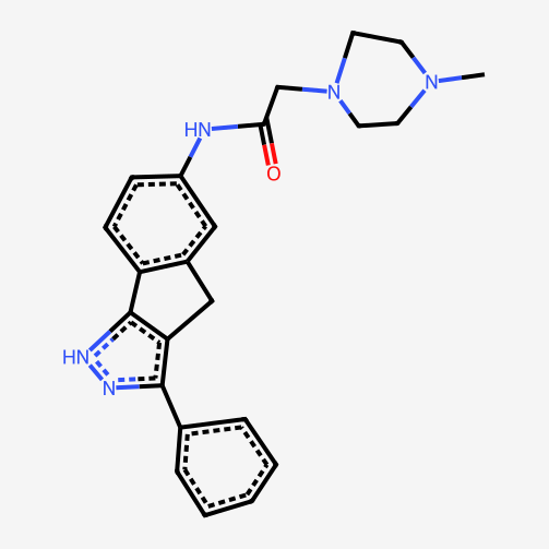 CN1CCN(CC(=O)Nc2ccc3c(c2)Cc2c(-c4ccccc4)n[nH]c2-3)CC1